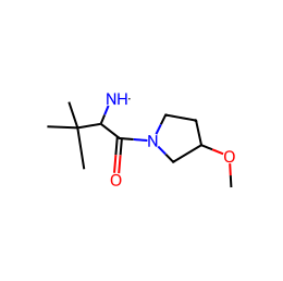 COC1CCN(C(=O)C([NH])C(C)(C)C)C1